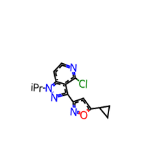 CC(C)n1nc(-c2cc(C3CC3)on2)c2c(Cl)nccc21